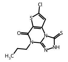 CCCn1c(=O)c2sc(Cl)cc2n2c(=S)[nH]nc12